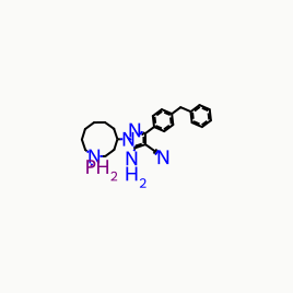 N#Cc1c(-c2ccc(Cc3ccccc3)cc2)nn(C2CCCCCCN(P)CC2)c1N